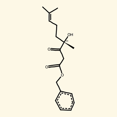 CC(C)=CCC[C@](C)(O)C(=O)CC(=O)OCc1ccccc1